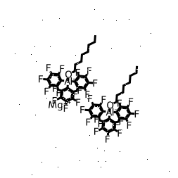 CCCCCCCC[O][Al-]([c]1c(F)c(F)c(F)c(F)c1F)([c]1c(F)c(F)c(F)c(F)c1F)[c]1c(F)c(F)c(F)c(F)c1F.CCCCCCCC[O][Al-]([c]1c(F)c(F)c(F)c(F)c1F)([c]1c(F)c(F)c(F)c(F)c1F)[c]1c(F)c(F)c(F)c(F)c1F.[Mg+2]